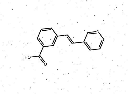 O=C(O)c1cccc(C=Cc2cccnc2)c1